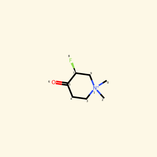 C[N+]1(C)CCC(=O)[C@@H](F)C1